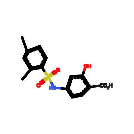 Cc1ccc(S(=O)(=O)Nc2ccc(C(=O)O)c(O)c2)c(C)c1